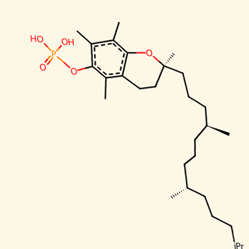 Cc1c(C)c2c(c(C)c1OP(=O)(O)O)CC[C@](C)(CCC[C@@H](C)CCC[C@@H](C)CCCC(C)C)O2